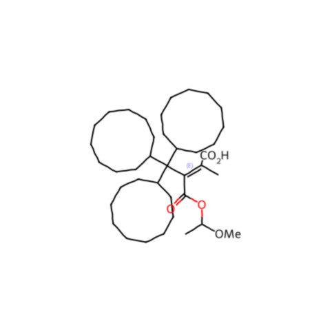 COC(C)OC(=O)/C(=C(\C)C(=O)O)C(C1CCCCCCCCC1)(C1CCCCCCCCC1)C1CCCCCCCCC1